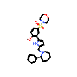 COc1ccc(S(=O)(=O)N2CCOCC2)cc1-c1ccc(CN2CCCCC[C@H]2c2ccccc2)[nH]1